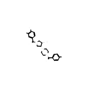 O=C(c1ccc(Cl)cc1)N1CCN([C@@H]2CN(C(=O)c3ccc(C(F)(F)F)c(F)c3)C[C@H]2O)CC1